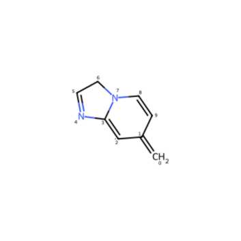 C=C1[C]=C2N=CCN2C=C1